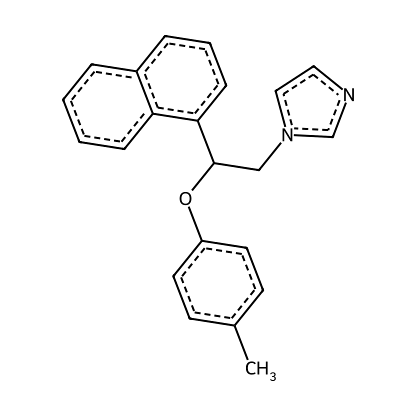 Cc1ccc(OC(Cn2ccnc2)c2cccc3ccccc23)cc1